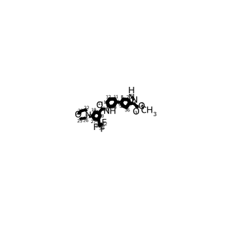 COC(=O)c1n[nH]c2cc(-c3cccc(NC(=O)c4cc(N5CCOCC5)cc(C(F)(F)F)c4)c3)ccc12